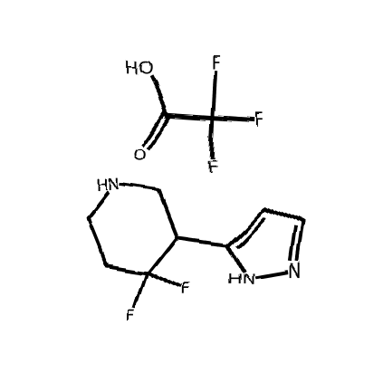 FC1(F)CCNCC1c1ccn[nH]1.O=C(O)C(F)(F)F